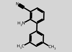 Cc1cc(C)cc(-c2cccc(C#N)c2N)c1